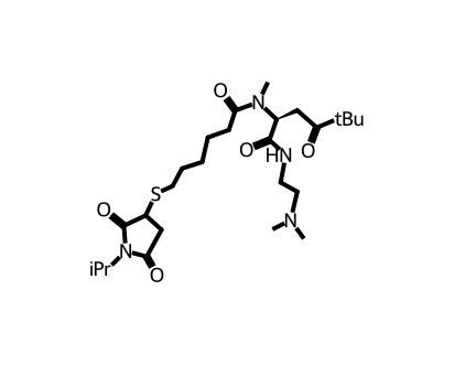 CC(C)N1C(=O)CC(SCCCCCC(=O)N(C)[C@@H](CC(=O)C(C)(C)C)C(=O)NCCN(C)C)C1=O